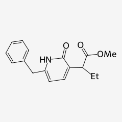 CCC(C(=O)OC)c1ccc(Cc2ccccc2)[nH]c1=O